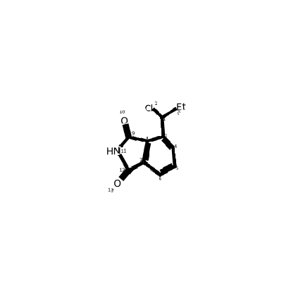 CCC(Cl)c1cccc2c1C(=O)NC2=O